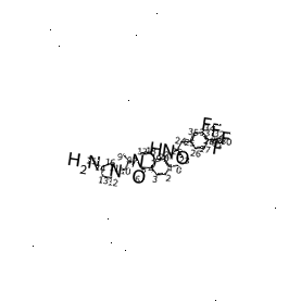 Cc1ccc2c(=O)n([C@H](C)CN3CC[C@H](N)C3)ccc2c1NC(=O)Cc1ccc(C(F)(F)F)c(F)c1